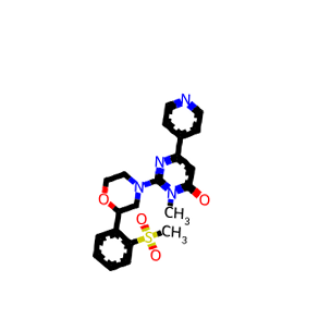 Cn1c(N2CCOC(c3ccccc3S(C)(=O)=O)C2)nc(-c2ccncc2)cc1=O